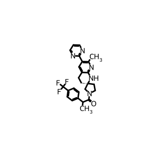 Cc1nc2c(cc1-c1ncccn1)CC[C@@]1(CCN(C(=O)C(C)c3ccc(C(F)(F)F)cc3)C1)N2